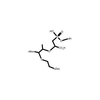 CCCCCCCCCCCCSC(CCCCCCCCC)C(C)OC(CP(=O)(O)OCCC)C(=O)O